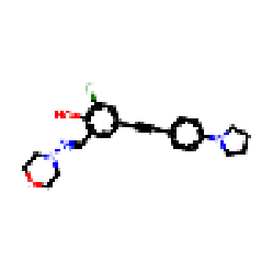 Oc1c(F)cc(C#Cc2ccc(N3CCCC3)cc2)cc1/C=N/N1CCOCC1